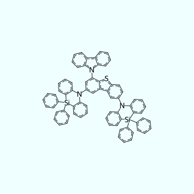 c1ccc([Si]2(c3ccccc3)c3ccccc3N(c3ccc4sc5c(-n6c7ccccc7c7ccccc76)cc(N6c7ccccc7[Si](c7ccccc7)(c7ccccc7)c7ccccc76)cc5c4c3)c3ccccc32)cc1